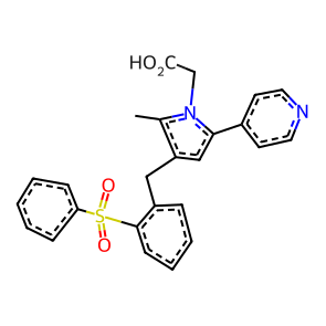 Cc1c(Cc2ccccc2S(=O)(=O)c2ccccc2)cc(-c2ccncc2)n1CC(=O)O